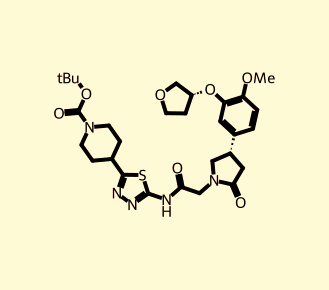 COc1ccc([C@@H]2CC(=O)N(CC(=O)Nc3nnc(C4CCN(C(=O)OC(C)(C)C)CC4)s3)C2)cc1O[C@@H]1CCOC1